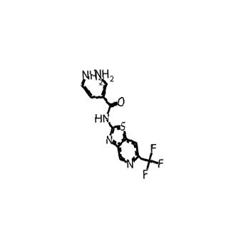 N/C=C\C(=C/N)C(=O)Nc1nc2cnc(C(F)(F)F)cc2s1